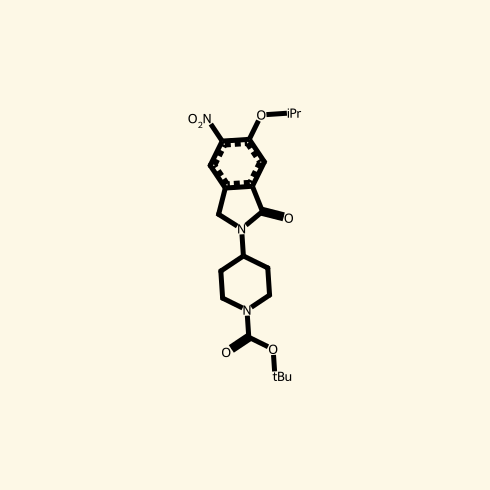 CC(C)Oc1cc2c(cc1[N+](=O)[O-])CN(C1CCN(C(=O)OC(C)(C)C)CC1)C2=O